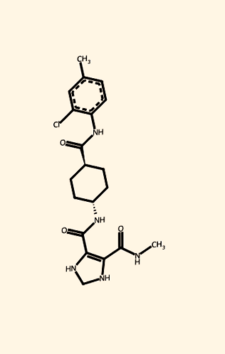 CNC(=O)C1=C(C(=O)N[C@H]2CC[C@H](C(=O)Nc3ccc(C)cc3Cl)CC2)NCN1